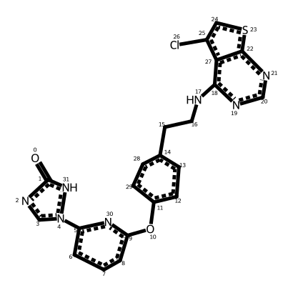 O=c1ncn(-c2cccc(Oc3ccc(CCNc4ncnc5scc(Cl)c45)cc3)n2)[nH]1